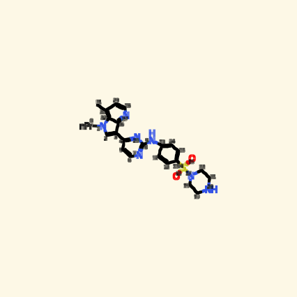 CCCn1cc(-c2ccnc(Nc3ccc(S(=O)(=O)N4CCNCC4)cc3)n2)c2nccc(C)c21